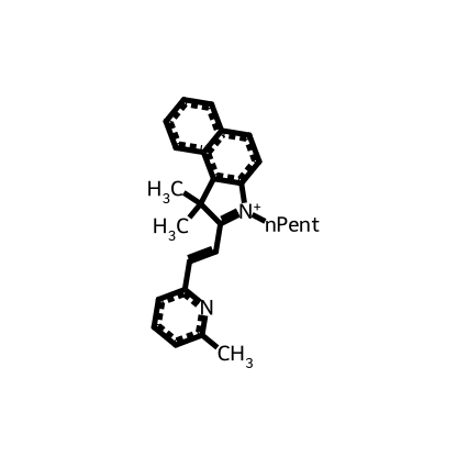 CCCCC[N+]1=C(C=Cc2cccc(C)n2)C(C)(C)c2c1ccc1ccccc21